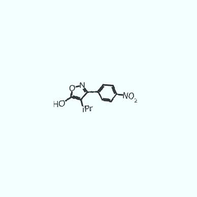 CC(C)c1c(-c2ccc([N+](=O)[O-])cc2)noc1O